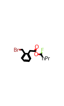 CCCC(F)OC(=O)Cc1ccccc1CBr